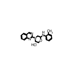 Cc1ccccc1NC1CN(c2ncc3ccccc3n2)CCO1.Cl